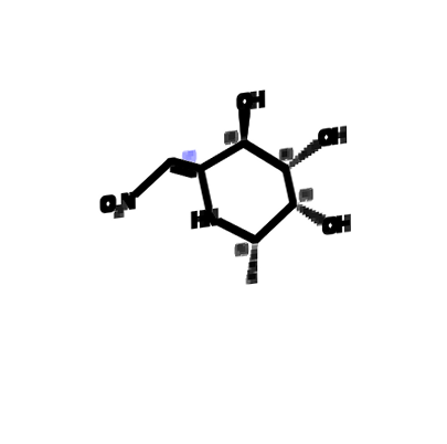 C[C@@H]1N/C(=C\[N+](=O)[O-])[C@@H](O)[C@H](O)[C@@H]1O